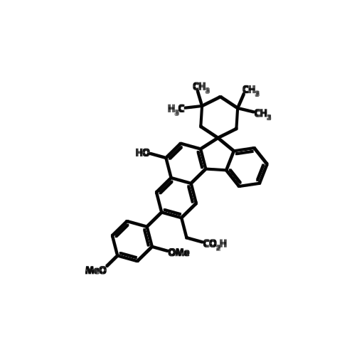 COc1ccc(-c2cc3c(O)cc4c(c3cc2CC(=O)O)-c2ccccc2C42CC(C)(C)CC(C)(C)C2)c(OC)c1